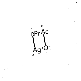 CC(=O)[O-].CC[CH2][Ag+]